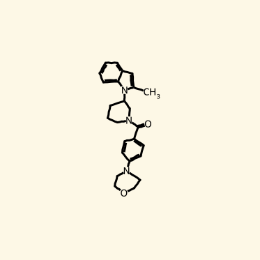 Cc1cc2ccccc2n1C1CCCN(C(=O)c2ccc(N3CCOCC3)cc2)C1